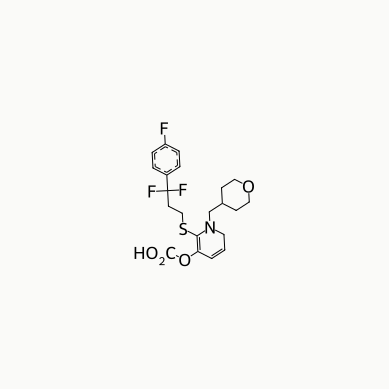 O=C(O)OC1=C(SCCC(F)(F)c2ccc(F)cc2)N(CC2CCOCC2)CC=C1